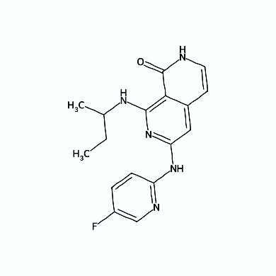 CCC(C)Nc1nc(Nc2ccc(F)cn2)cc2cc[nH]c(=O)c12